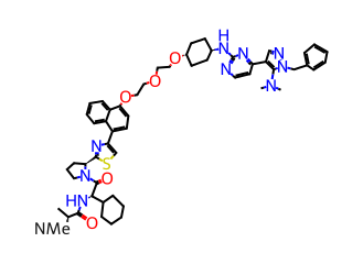 CN[C@@H](C)C(=O)N[C@H](C(=O)N1CCC[C@H]1c1nc(-c2ccc(OCCOCCO[C@H]3CC[C@H](Nc4nccc(-c5cnn(Cc6ccccc6)c5N(C)C)n4)CC3)c3ccccc23)cs1)C1CCCCC1